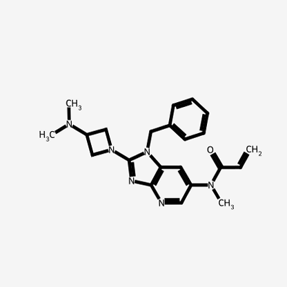 C=CC(=O)N(C)c1cnc2nc(N3CC(N(C)C)C3)n(Cc3ccccc3)c2c1